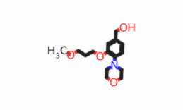 COCCCOc1cc(CO)ccc1N1CCOCC1